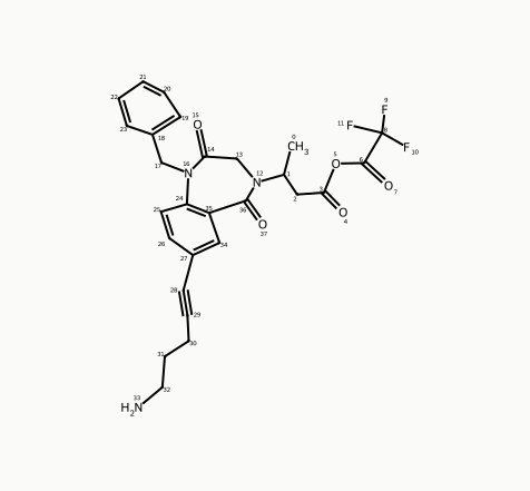 CC(CC(=O)OC(=O)C(F)(F)F)N1CC(=O)N(Cc2ccccc2)c2ccc(C#CCCCN)cc2C1=O